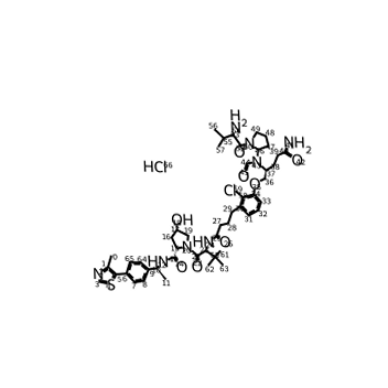 Cc1ncsc1-c1ccc([C@H](C)NC(=O)[C@@H]2C[C@@H](O)CN2C(=O)[C@@H](NC(=O)CCCc2cccc(OC[C@H](CCC(N)=O)N(C=O)[C@@H]3CCCN3C(=O)[C@@H](N)C(C)C)c2Cl)C(C)(C)C)cc1.Cl